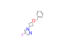 Ic1cnn(C2CC(OCc3ccccc3)C2)c1